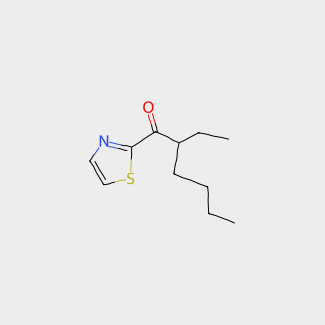 CCCCC(CC)C(=O)c1nccs1